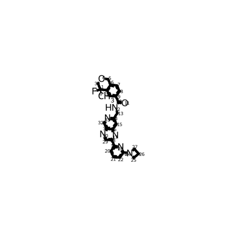 C[C@@]1(F)COCc2ccc(C(=O)NCc3cc4nc(-c5cccc(N6CCC6)n5)cnc4cn3)cc21